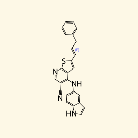 N#Cc1cnc2sc(/C=C/Cc3ccccc3)cc2c1Nc1ccc2[nH]ccc2c1